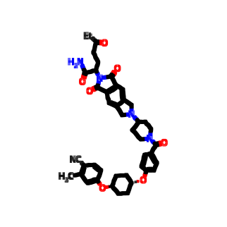 CCC(=O)CCC(C(N)=O)N1C(=O)c2cc3c(cc2C1=O)CN(C1CCN(C(=O)c2ccc(O[C@H]4CC[C@H](Oc5ccc(C#N)c(C)c5)CC4)cc2)CC1)C3